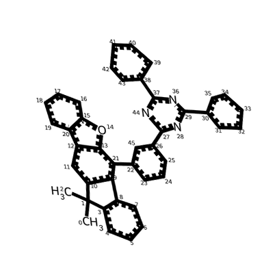 CC1(C)c2ccccc2-c2c1cc1c(oc3ccccc31)c2-c1cccc(-c2nc(-c3ccccc3)nc(-c3ccccc3)n2)c1